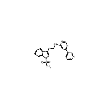 CS(=O)(=O)n1cc(CCNc2cc(-c3cccnc3)ncn2)c2ccccc21